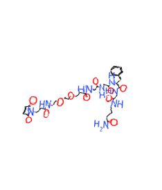 NC(=O)CCCNC(=O)CNC(=O)C(Cc1ccccc1)NC(=O)CNC(=O)CNC(=O)CCOCCOCCNC(=O)CCN1C(=O)C=CC1=O